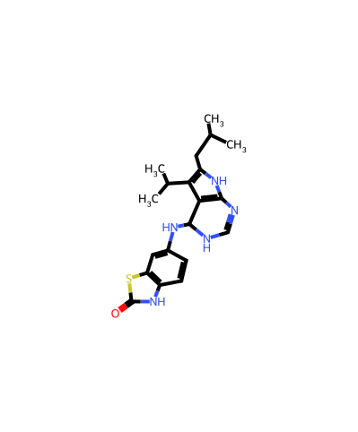 CC(C)Cc1[nH]c2c(c1C(C)C)C(Nc1ccc3[nH]c(=O)sc3c1)NC=N2